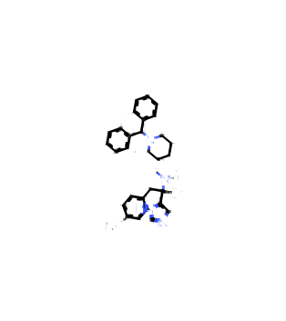 CCC(Cc1ccc(C#N)cc1)(c1cnc[nH]1)N(C[C@H]1CCCN(C(c2ccccc2)c2ccccc2)C1)C(C)=O